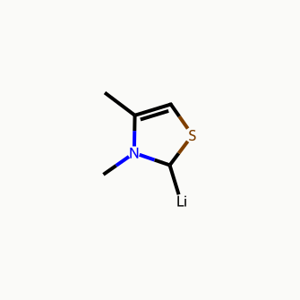 [Li][CH]1SC=C(C)N1C